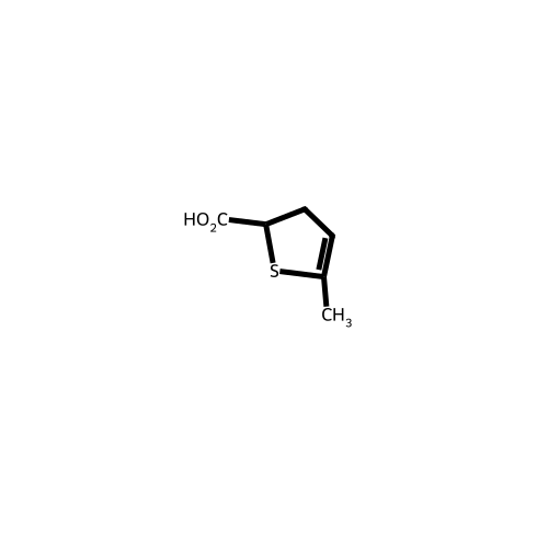 CC1=CCC(C(=O)O)S1